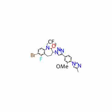 COc1cc(-c2cn(C3CCc4c(ccc(Br)c4F)N(CC(F)(F)F)C3=O)nn2)ccc1-n1cnc(C)c1